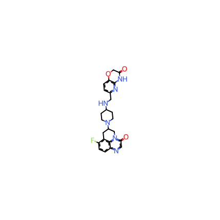 O=C1COc2ccc(CNC3CCN(C4Cc5c(F)ccc6ncc(=O)n(c56)C4)CC3)nc2N1